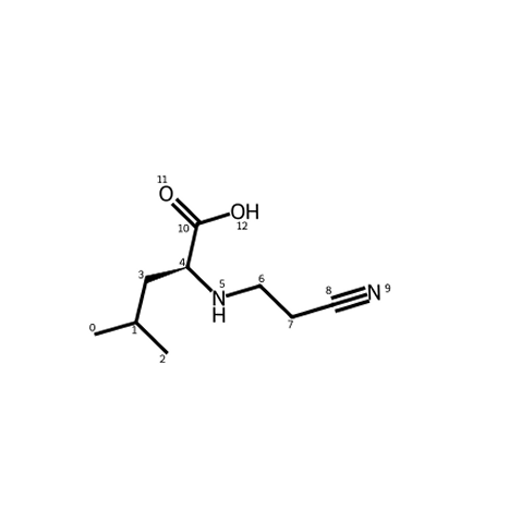 CC(C)C[C@H](NCCC#N)C(=O)O